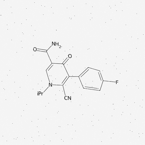 CC(C)n1cc(C(N)=O)c(=O)c(-c2ccc(F)cc2)c1C#N